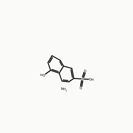 N.O=S(=O)(O)c1ccc2c(O)cccc2c1